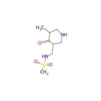 CC1CNCC(CNS(C)(=O)=O)C1=O